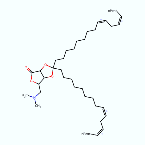 CCCCC/C=C\C/C=C\CCCCCCCCC1(CCCCCCCC/C=C\C/C=C\CCCCC)OC2C(=O)OC(CN(C)C)C2O1